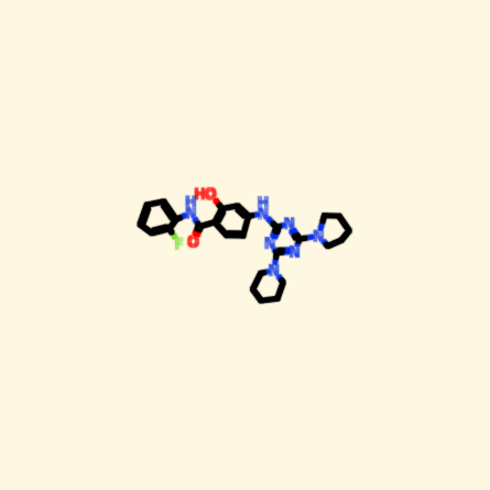 O=C(Nc1ccccc1F)c1ccc(Nc2nc(N3CCCCC3)nc(N3CCCCC3)n2)cc1O